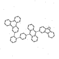 c1ccc(-c2ccc3c4ccccc4c4ccccc4c3c2)c(-c2ccc(-c3c4ccccc4c(-c4ccc5oc6ccccc6c5c4)c4ccccc34)cc2)c1